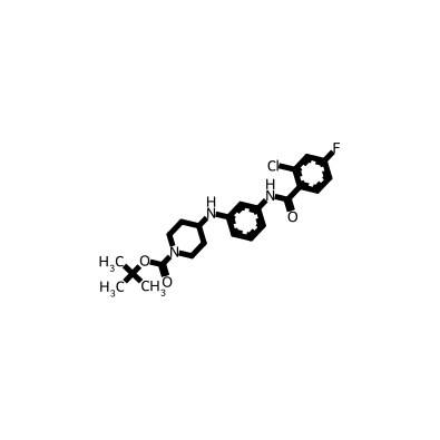 CC(C)(C)OC(=O)N1CCC(Nc2cccc(NC(=O)c3ccc(F)cc3Cl)c2)CC1